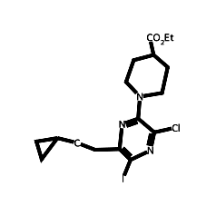 CCOC(=O)C1CCN(c2nc(CCC3CC3)c(I)nc2Cl)CC1